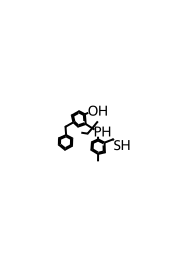 CCC(C)(Pc1ccc(C)cc1CS)c1cc(Cc2ccccc2)ccc1O